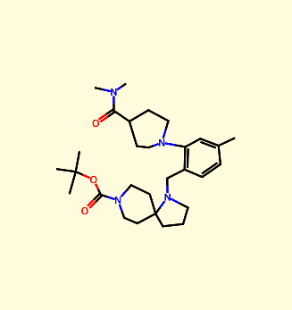 Cc1ccc(CN2CCCC23CCN(C(=O)OC(C)(C)C)CC3)c(N2CCC(C(=O)N(C)C)CC2)c1